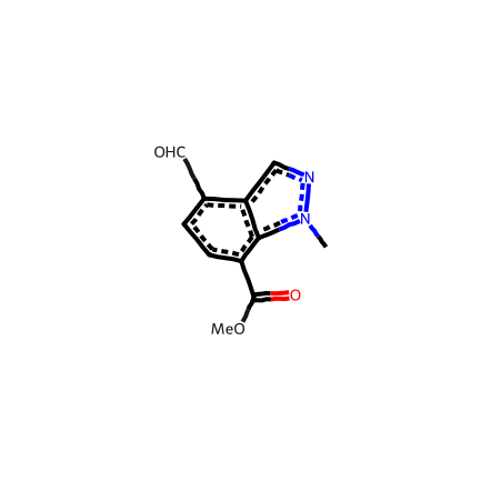 COC(=O)c1ccc(C=O)c2cnn(C)c12